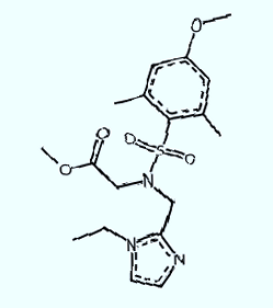 CCn1ccnc1CN(CC(=O)OC)S(=O)(=O)c1c(C)cc(OC)cc1C